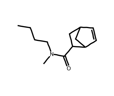 CCCCN(C)C(=O)C1CC2C=CC1C2